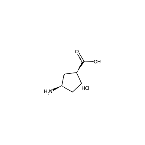 Cl.N[C@@H]1CC[C@H](C(=O)O)C1